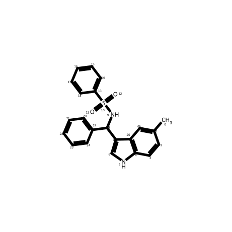 Cc1ccc2[nH]cc(C(NS(=O)(=O)c3ccccc3)c3ccccc3)c2c1